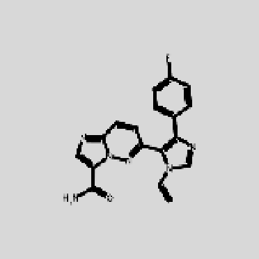 C=Cn1cnc(-c2ccc(F)cc2)c1-c1ccc2ncc(C(N)=O)n2n1